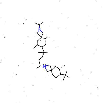 CC1CC2(CCC1C(C)(C)CCC(C)N1CC3(CCC(C(C)(C)C)[C@@H](C)C3)C1)CN(C(C)C)C2